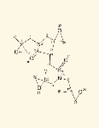 CC1(CN(CC2(C)CO2)C(=O)CCC(=O)N(CC2(C)CO2)CC2(C)CO2)CO1